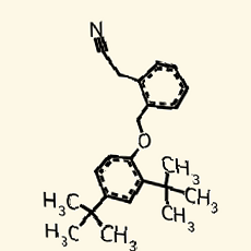 CC(C)(C)c1ccc(OCc2ccccc2CC#N)c(C(C)(C)C)c1